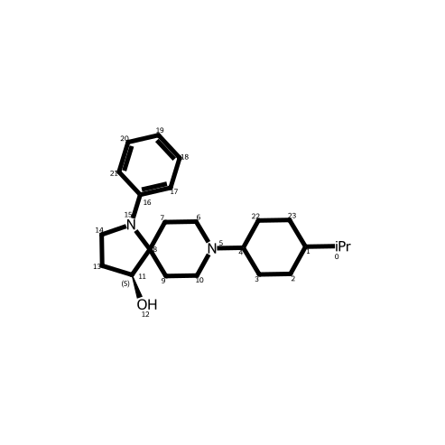 CC(C)C1CCC(N2CCC3(CC2)[C@@H](O)CCN3c2ccccc2)CC1